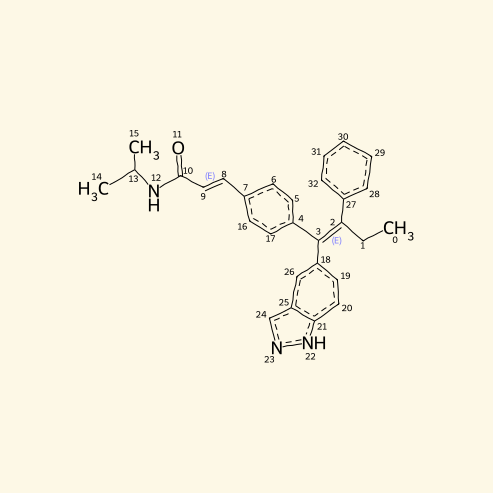 CC/C(=C(/c1ccc(/C=C/C(=O)NC(C)C)cc1)c1ccc2[nH]ncc2c1)c1ccccc1